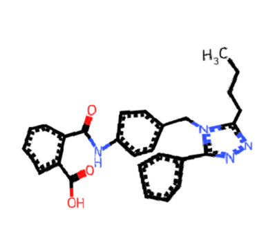 CCCCc1nnc(-c2ccccc2)n1Cc1ccc(NC(=O)c2ccccc2C(=O)O)cc1